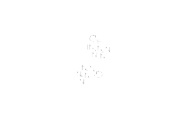 Cc1ccc(NC2=NC(CCN(C3=NC(C)N=C(N(C)C)N3)c3ccc(C)s3)N=C(N(C)C)N2)s1